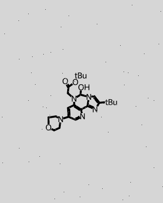 CC(C)(C)OC(=O)CN1c2cc(N3CCOCC3)cnc2-c2nc(C(C)(C)C)cn2C1O